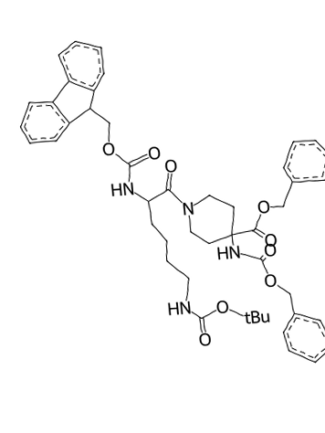 CC(C)(C)OC(=O)NCCCCC(NC(=O)OCC1c2ccccc2-c2ccccc21)C(=O)N1CCC(NC(=O)OCc2ccccc2)(C(=O)OCc2ccccc2)CC1